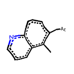 CC(=O)c1ccc2ncccc2c1C